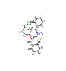 CN(C)C(c1ccccc1Cl)C1CCCCC1OCc1ccccc1Cl